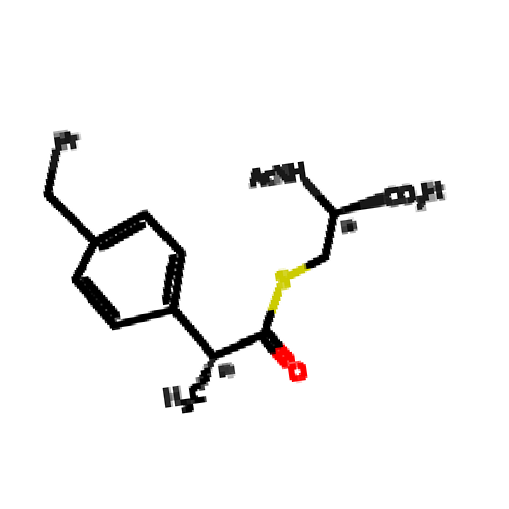 CCOC(=O)[C@@H](CSC(=O)[C@H](C)c1ccc(CC(C)C)cc1)NC(C)=O